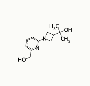 CC(C)(O)C1CN(c2cccc(CO)n2)C1